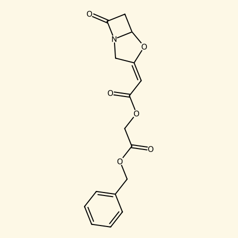 O=C(C=C1CN2C(=O)CC2O1)OCC(=O)OCc1ccccc1